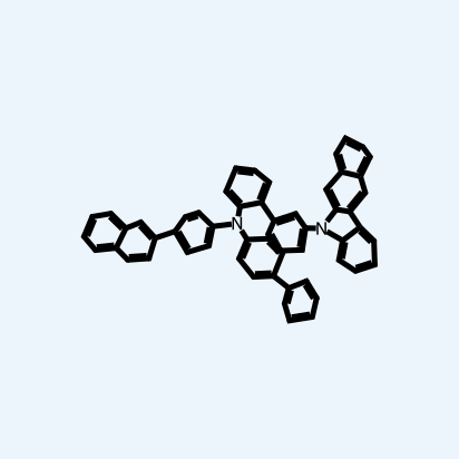 c1ccc(-c2ccc(N(c3ccc(-c4ccc5ccccc5c4)cc3)c3ccccc3-c3cccc(-n4c5ccccc5c5cc6ccccc6cc54)c3)cc2)cc1